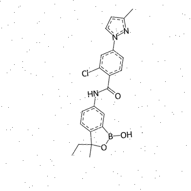 CCC1(C)OB(O)c2cc(NC(=O)c3ccc(-n4ccc(C)n4)cc3Cl)ccc21